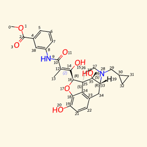 COC(=O)c1cccc(NC(=O)/C(C)=C(\O)[C@@H]2Oc3c(O)ccc4c3[C@@]23CCN(CC2CC2)[C@H](C4)[C@@]3(C)O)c1